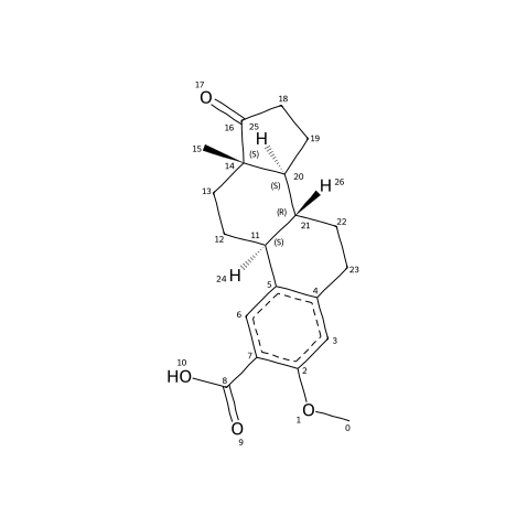 COc1cc2c(cc1C(=O)O)[C@H]1CC[C@]3(C)C(=O)CC[C@H]3[C@@H]1CC2